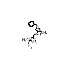 CC1CN(Cc2ccccc2)CC1NCC(=O)OC(C)(C)C